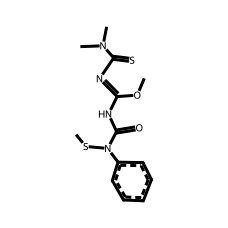 COC(=NC(=S)N(C)C)NC(=O)N(SC)c1ccccc1